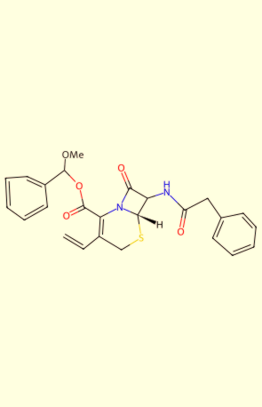 C=CC1=C(C(=O)OC(OC)c2ccccc2)N2C(=O)C(NC(=O)Cc3ccccc3)[C@@H]2SC1